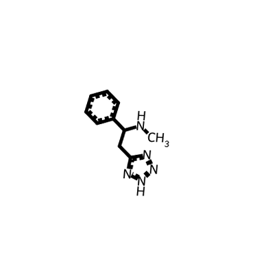 CNC(Cc1nn[nH]n1)c1ccccc1